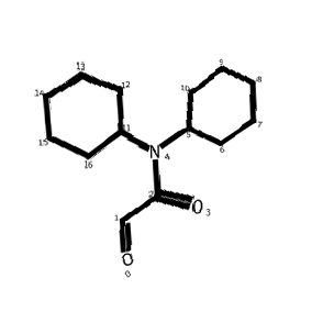 O=CC(=O)N(C1CCCCC1)C1CCCCC1